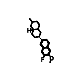 COc1cc2ccc([C@@H]3CC[C@@H]4CC(C)CCC4C3)cc2cc1F